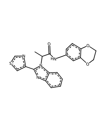 CC(C(=O)Nc1ccc2c(c1)OCCO2)n1c(-c2cscn2)nc2ccccc21